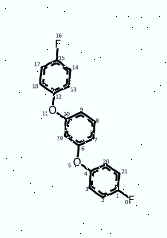 Fc1ccc(Oc2cccc(Oc3ccc(F)cc3)c2)cc1